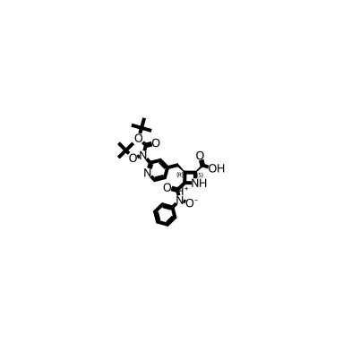 CC(C)(C)OC(=O)N(OC(C)(C)C)c1cc(C[C@@H]2C(C(=O)[NH+]([O-])c3ccccc3)N[C@@H]2C(=O)O)ccn1